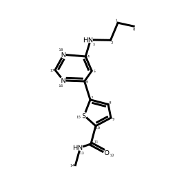 CCCNc1cc(-c2ccc(C(=O)NC)s2)ncn1